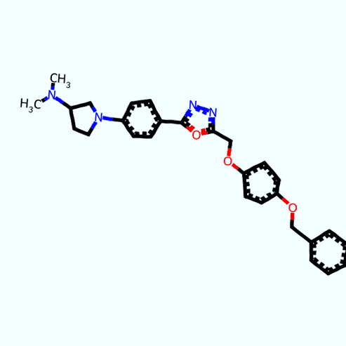 CN(C)C1CCN(c2ccc(-c3nnc(COc4ccc(OCc5ccccc5)cc4)o3)cc2)C1